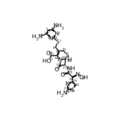 Nc1cc(N)nc(SCC2=C(C(=O)O)N3C(=O)[C@@H](NC(=O)C(=NO)c4csc(N)n4)[C@@H]3SC2)n1